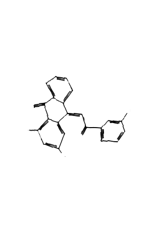 O=C(C=C1c2ccccc2C(=O)c2c(O)cc(Br)cc21)c1cccc(O)c1